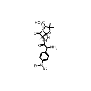 CCN(CC)c1ccc(C(N)C(=O)N[C@@]2(C)C(=O)N3[C@@H](C(=O)O)C(C)(C)S[C@@H]32)cc1